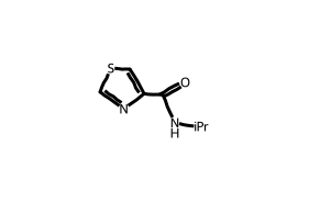 CC(C)NC(=O)c1cscn1